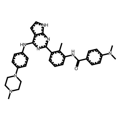 Cc1c(NC(=O)c2ccc(N(C)C)cc2)cccc1-c1nc(Nc2ccc(N3CCN(C)CC3)cc2)c2cc[nH]c2n1